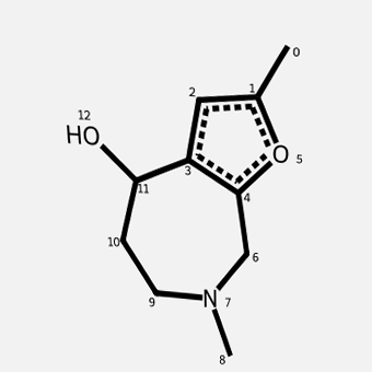 Cc1cc2c(o1)CN(C)CCC2O